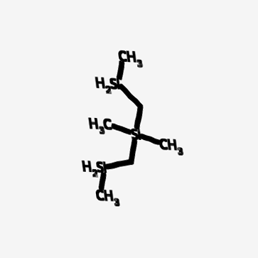 C[SiH2]C[Si](C)(C)C[SiH2]C